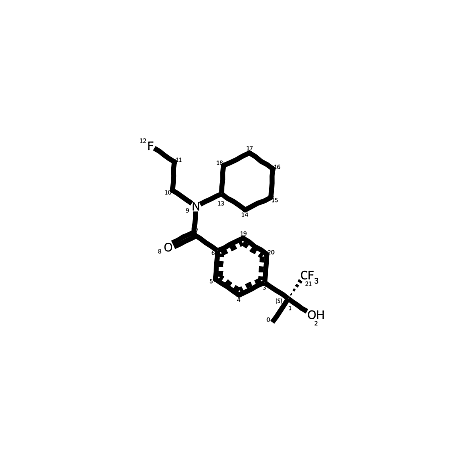 C[C@](O)(c1ccc(C(=O)N(CCF)C2CCCCC2)cc1)C(F)(F)F